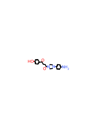 Nc1ccc(N2CCN(C(=O)CCC(=O)c3ccc(O)cc3)CC2)cc1